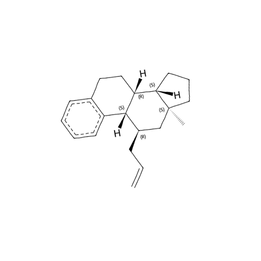 C=CC[C@@H]1C[C@]2(C)CCC[C@H]2[C@H]2CCc3ccccc3[C@@H]12